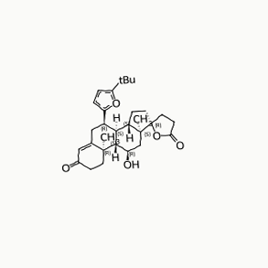 CC(C)(C)c1ccc([C@@H]2CC3=CC(=O)CC[C@]3(C)[C@@H]3[C@@H]2[C@@H]2CC[C@@]4(CCC(=O)O4)[C@@]2(C)C[C@H]3O)o1